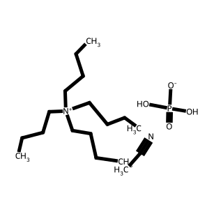 CC#N.CCCC[N+](CCCC)(CCCC)CCCC.O=P([O-])(O)O